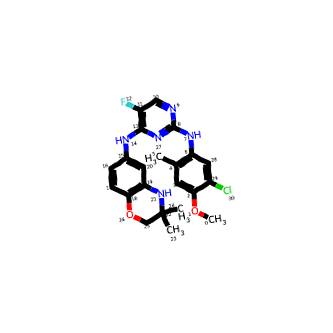 COc1cc(C)c(Nc2ncc(F)c(Nc3ccc4c(c3)NC(C)(C)CO4)n2)cc1Cl